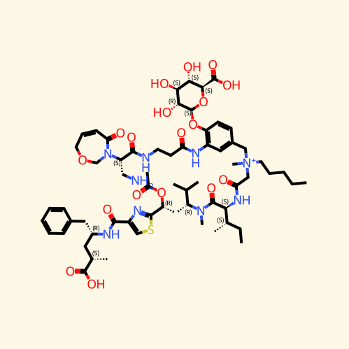 CCCCC[N+](C)(CC(=O)N[C@H](C(=O)N(C)[C@H](C[C@@H](OC(C)=O)c1nc(C(=O)N[C@@H](Cc2ccccc2)C[C@H](C)C(=O)O)cs1)C(C)C)[C@@H](C)CC)Cc1ccc(O[C@@H]2O[C@H](C(=O)O)[C@@H](O)[C@H](O)[C@H]2O)c(NC(=O)CCNC(=O)[C@H](CN)N2COCC=CC2=O)c1